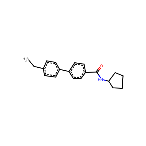 BCc1ccc(-c2ccc(C(=O)NC3CCCC3)cc2)cc1